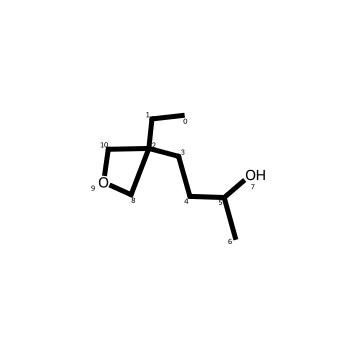 CCC1(CCC(C)O)COC1